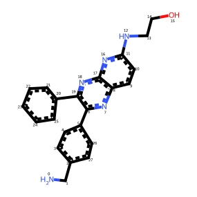 NCc1ccc(-c2nc3ccc(NCCO)nc3nc2-c2ccccc2)cc1